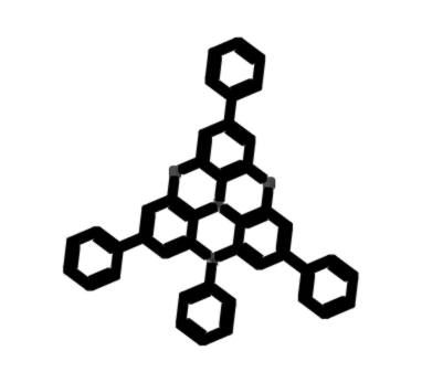 c1ccc(-c2cc3c4c(c2)Oc2cc(-c5ccccc5)cc5c2B4c2c(cc(-c4ccccc4)cc2N5c2ccccc2)O3)cc1